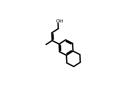 C/C(=C/CO)c1ccc2c(c1)CCCC2